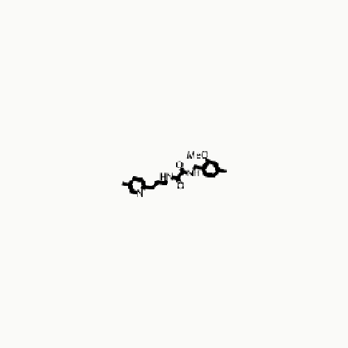 COc1cc(C)ccc1CNC(=O)C(=O)NCCCc1ccc(C)cn1